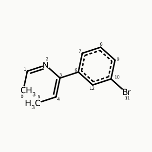 C/C=N\C(=C/C)c1cccc(Br)c1